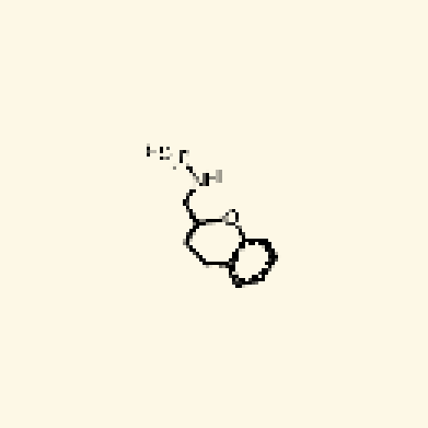 O=C(O)NCC1CCc2ccccc2O1